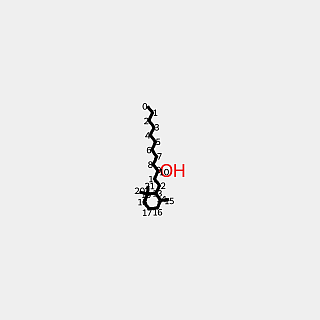 CCCCCCCCCC(O)CCC1C(C)CCCC1(C)C